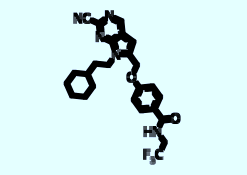 N#Cc1ncc2cc(COc3ccc(C(=O)NCC(F)(F)F)cc3)n(CCC3CCCCC3)c2n1